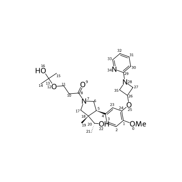 COc1ccc([C@@H]2CN(C(=O)CCOC(C)(C)O)C[C@@]2(C)[C@@H](C)O)cc1OC1CN(c2ccccn2)C1